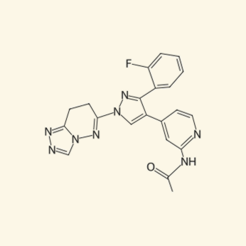 CC(=O)Nc1cc(-c2cn(C3=Nn4cnnc4CC3)nc2-c2ccccc2F)ccn1